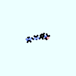 CC1=C(C)N(c2c(C)ccc(CN3CN(CCN4C(C)=C(C)N(C)C4(C)C)C(C)=C3C)c2C)C(C)(C)O1